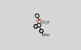 CCCCCCCCCCc1ccc(C2CC(C(=O)O)C(OC(=O)C3CCCCC3)c3ccccc32)cc1